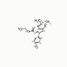 CCOC(=O)Cn1c(-c2ccc(Cl)cc2)nc2cc(C)c(C)nc21